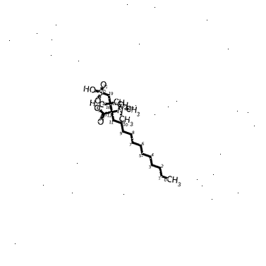 CCCCCCCCCCCCC(C(=O)[O-])(C(C)(C)CS(=O)(=O)O)[N+](C)(C)C